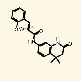 COc1ccccc1/C=C/C(=O)Nc1ccc2c(c1)NC(=O)CC2(C)C